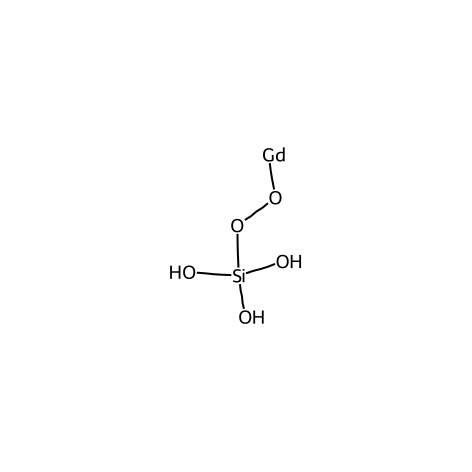 O[Si](O)(O)O[O][Gd]